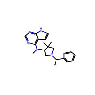 C[C@H](c1ccccc1)N1C[C@@H](N(C)c2ncnc3[nH]ccc23)C(C)(C)C1